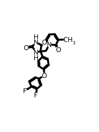 Cc1cccn(CC2(c3ccc(Oc4ccc(F)c(F)c4)cc3)NC(=O)NC2=O)c1=O